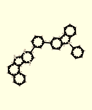 c1ccc(-n2c3ccccc3c3cc(-c4cccc(-c5cnc6c(n5)oc5ccc7ccccc7c56)c4)ccc32)cc1